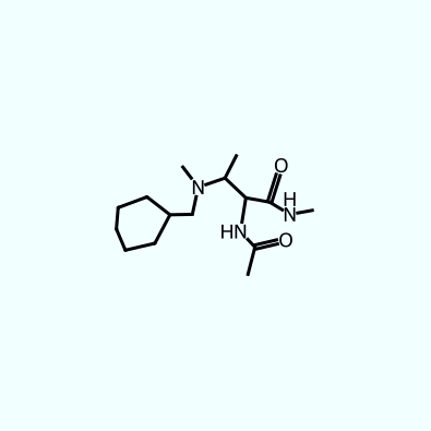 CNC(=O)C(NC(C)=O)C(C)N(C)CC1CCCCC1